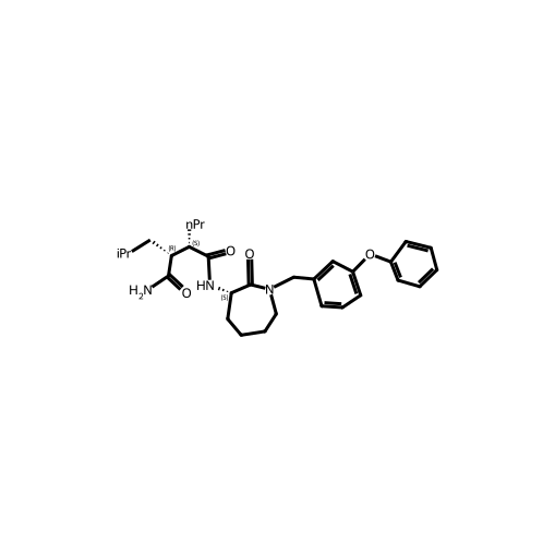 CCC[C@H](C(=O)N[C@H]1CCCCN(Cc2cccc(Oc3ccccc3)c2)C1=O)[C@@H](CC(C)C)C(N)=O